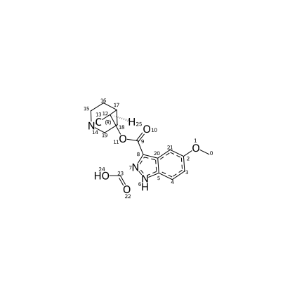 COc1ccc2[nH]nc(C(=O)O[C@H]3CN4CCC3CC4)c2c1.O=CO